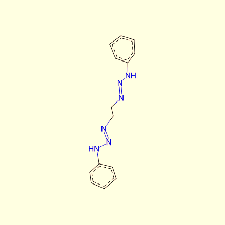 c1ccc(NN=NCCN=NNc2ccccc2)cc1